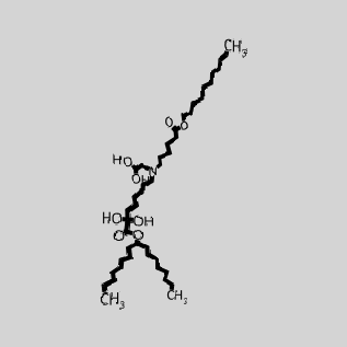 CCCCCCCCCCCOC(=O)CCCCCN(CCCCCCC(O)(O)C(=O)OC(CCCCCCCC)CCCCCCCC)CC(O)O